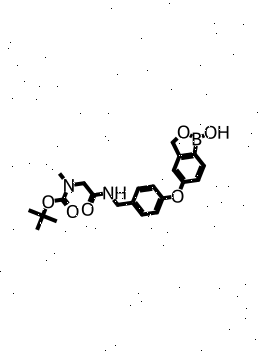 CN(CC(=O)NCc1ccc(Oc2ccc3c(c2)COB3O)cc1)C(=O)OC(C)(C)C